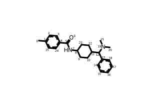 Cc1ccc(C(=O)NC2CCC(C(c3ccccc3)N(C)C)CC2)cc1